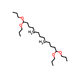 CCCOC(CCC[SiH2]CCC[SiH2]CCCC(OCCC)OCCC)OCCC